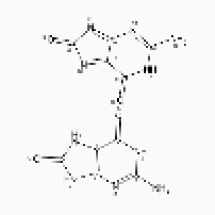 Nc1nc2[nH]c(=O)[nH]c2c(=O)[nH]1.Nc1nc2c(c(=O)[nH]1)=NC(=O)N=2